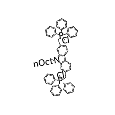 CCCCCCCCn1c2cc(CP(Cl)(c3ccccc3)(c3ccccc3)c3ccccc3)ccc2c2ccc(CP(Cl)(c3ccccc3)(c3ccccc3)c3ccccc3)cc21